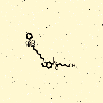 CCCCCC(=O)Nc1ccc2ccn(CCCCCCC(=O)NS(=O)(=O)c3ccccc3)c2c1